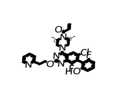 C=CC(=O)N1[C@H](C)CN(c2nc(OCCc3ccccn3)nc3c(F)c(-c4c(O)cccc4F)c(Cl)cc23)C[C@@H]1C